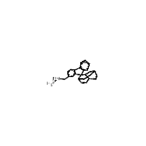 PNCc1ccc2c(c1)C1(c3ccccc3-2)C2CCC3CCC(C2)CC31